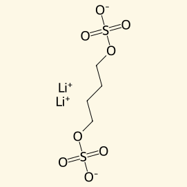 O=S(=O)([O-])OCCCCOS(=O)(=O)[O-].[Li+].[Li+]